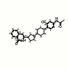 CC(=O)Nc1ccc(N2CCC(N3CCC(c4cc5ccccc5c(=O)[nH]4)C3)CC2)c(Cl)c1